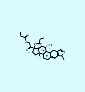 CCC(=O)OCC(=O)C1(OC(=O)CC)[C@@H](C)C[C@H]2[C@@H]3CCC4=Cc5c(cnn5C)C[C@]4(C)[C@@]3(F)[C@@H](O)C[C@@]21C